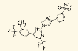 Cc1cc(-c2cc(C(F)(F)F)nc(-n3cnc(-c4cccc(S(N)(=O)=O)c4)c3)n2)ccc1C(F)(F)F